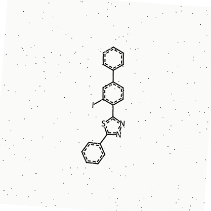 Ic1cc(-c2ccccc2)ccc1-c1nnc(-c2ccccc2)s1